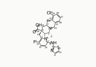 C[C@@H]1C[C@](Cc2nc(Nc3nccs3)ccc2F)(C(=O)O)CCN1Cc1cccc(Cl)c1F